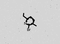 CCc1ccc(C)c(Br)n1